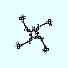 O=C1C=C(OCCCCCCOC(=O)c2ccc(-c3c4nc(c(-c5ccc(C(=O)OCCCCCCOC6=CC(=O)C(=O)c7ccccc76)cc5)c5ccc([nH]5)c(-c5ccc(C(=O)OCCCCCCOC6=CC(=O)C(=O)c7ccccc76)cc5)c5nc(c(-c6ccc(C(=O)OCCCCCCOC7=CC(=O)C(=O)c8ccccc87)cc6)c6ccc3[nH]6)C=C5)C=C4)cc2)c2ccccc2C1=O